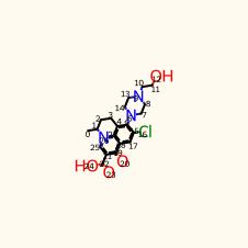 CC1CCc2c(N3CCN(CCO)CC3)c(Cl)cc3c(=O)c(C(=O)O)cn1c23